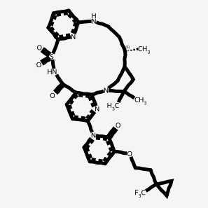 C[C@H]1CCNc2cccc(n2)S(=O)(=O)NC(=O)c2ccc(-n3cccc(OCCC4(C(F)(F)F)CC4)c3=O)nc2N2CC1CC2(C)C